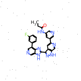 CCC(=O)Nc1cncc(-c2cc3c(-c4nc5c(-c6cccc(F)c6)cncc5[nH]4)n[nH]c3cn2)c1